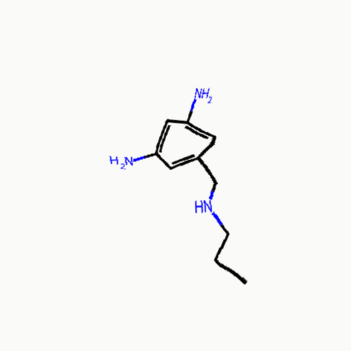 CCCNCc1cc(N)cc(N)c1